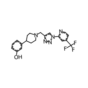 Oc1cccc(C2CCN(Cc3cn(-c4cc(C(F)(F)F)ccn4)nn3)CC2)c1